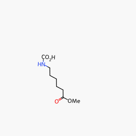 COC(=O)CCCCCNC(=O)O